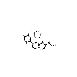 COc1cc(O)c(Cl)cc1-c1ccc2ncc(C(=O)CC(C)C)c(N[C@H]3CC[C@H](N)CC3)c2c1.Cl.Cl